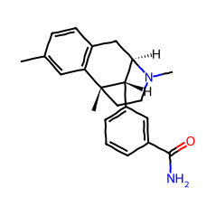 Cc1ccc2c(c1)[C@@]1(C)CCN(C)[C@H](C2)[C@@H]1c1cccc(C(N)=O)c1